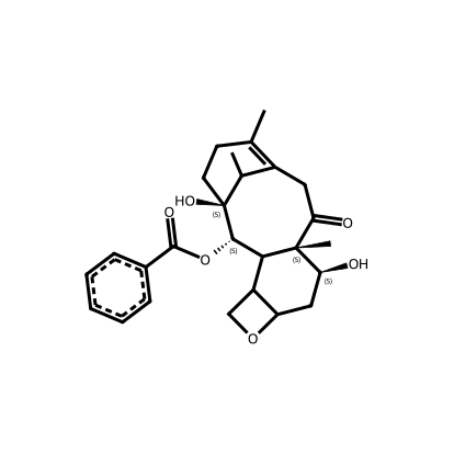 CC1=C2CC(=O)[C@@]3(C)C(C4COC4C[C@@H]3O)[C@H](OC(=O)c3ccccc3)[C@](O)(CC1)C2C